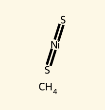 C.[S]=[Ni]=[S]